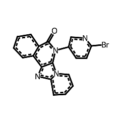 O=c1c2ccccc2c2nc3ccccn3c2n1-c1ccc(Br)nc1